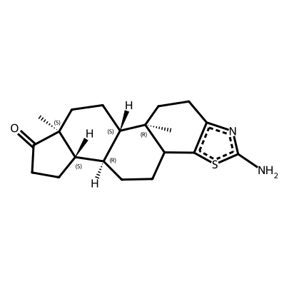 C[C@]12CCc3nc(N)sc3C1CC[C@@H]1[C@@H]2CC[C@]2(C)C(=O)CC[C@@H]12